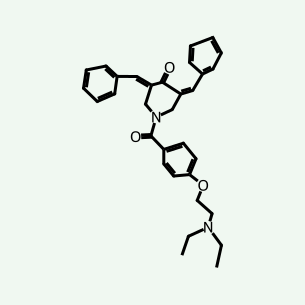 CCN(CC)CCOc1ccc(C(=O)N2C/C(=C/c3ccccc3)C(=O)/C(=C/c3ccccc3)C2)cc1